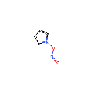 O=NOn1cccc1